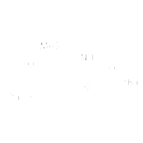 CS/C(=C\C(=O)OC(C)(C)C)NC(=O)OC(C)(C)C